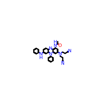 CC(=O)Nc1cc(N(CCC#N)CCC#N)cc2c1nc1ccc(Nc3ccccc3)cc1[n+]2-c1ccccc1